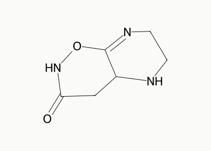 O=C1CC2NCCN=C2ON1